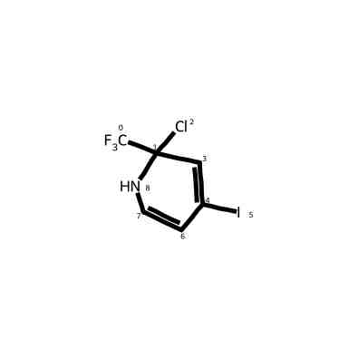 FC(F)(F)C1(Cl)C=C(I)C=CN1